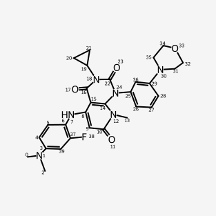 CN(C)c1ccc(Nc2cc(=O)n(C)c3c2c(=O)n(C2CC2)c(=O)n3-c2cccc(N3CCOCC3)c2)c(F)c1